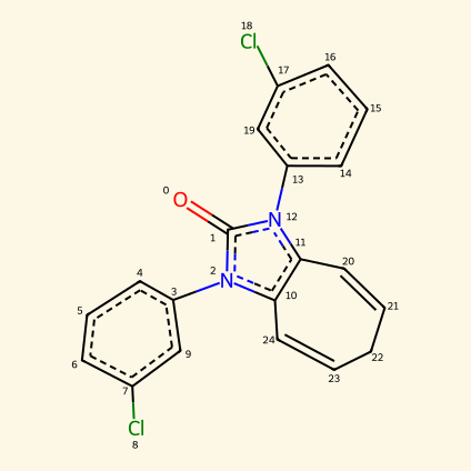 O=c1n(-c2cccc(Cl)c2)c2c(n1-c1cccc(Cl)c1)C=CCC=C2